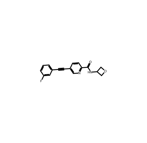 O=C(NC1COC1)c1ccc(C#Cc2cccc(F)c2)cn1